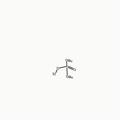 CCOP(=O)(OCC(C)C)OCC(C)C